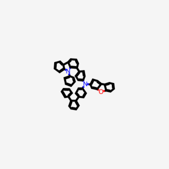 c1ccc(-c2ccccc2-c2ccc(N(c3ccc(-c4cccc5c6ccccc6n(-c6ccccc6)c45)cc3)c3ccc4c(c3)oc3ccccc34)cc2)cc1